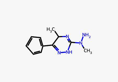 CC1N=C(N(C)N)NN=C1c1ccccc1